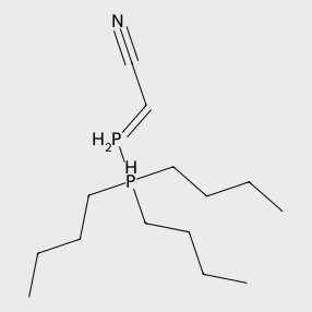 CCCC[PH](CCCC)(CCCC)/[PH2]=C/C#N